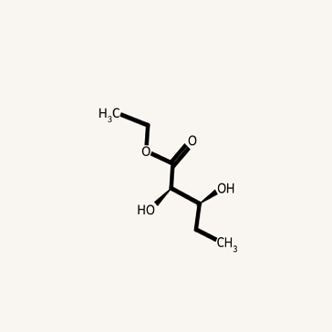 CCOC(=O)[C@H](O)[C@@H](O)CC